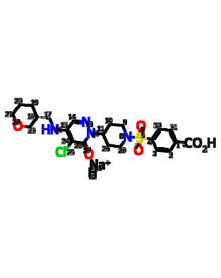 O=C(O)c1ccc(S(=O)(=O)N2CCC(n3ncc(NC[C@H]4CCCOC4)c(Cl)c3=O)CC2)cc1.[H-].[Na+]